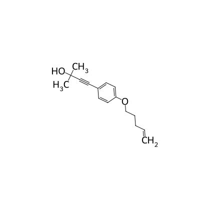 C=CCCCOc1ccc(C#CC(C)(C)O)cc1